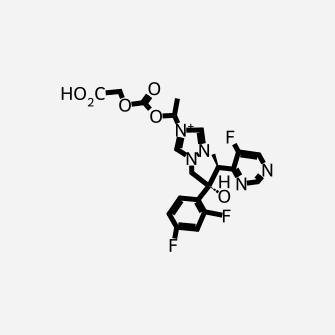 CC(OC(=O)OCC(=O)O)[n+]1cnn(C[C@](O)(c2ccc(F)cc2F)[C@@H](C)c2ncncc2F)c1